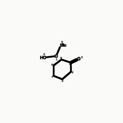 CC(C)(C)OO.O=C1CCCCC1